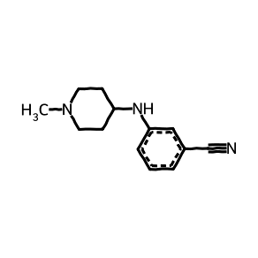 CN1CCC(Nc2cccc(C#N)c2)CC1